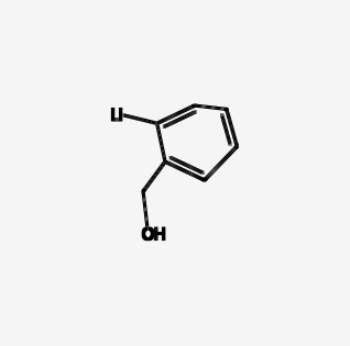 [Li][c]1ccccc1CO